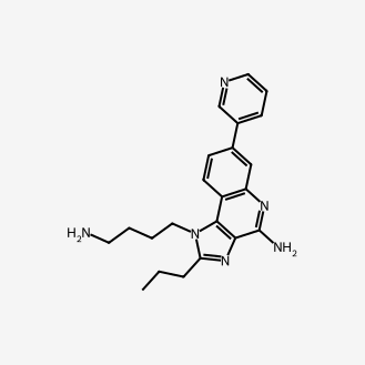 CCCc1nc2c(N)nc3cc(-c4cccnc4)ccc3c2n1CCCCN